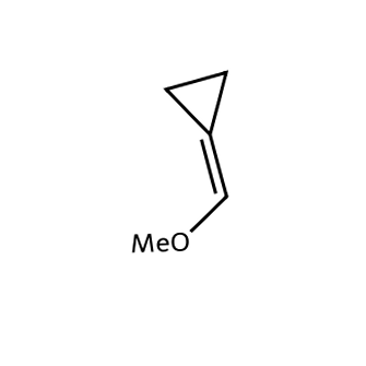 COC=C1CC1